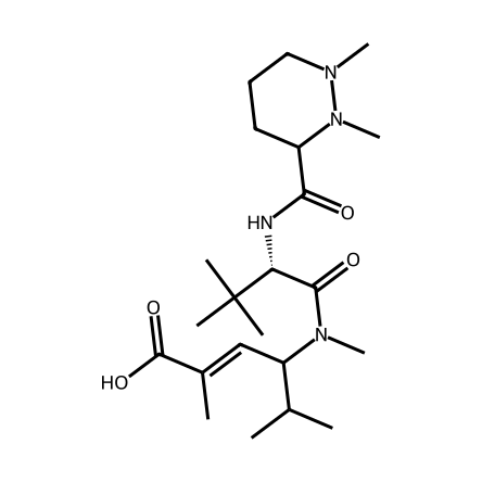 C/C(=C\C(C(C)C)N(C)C(=O)[C@@H](NC(=O)C1CCCN(C)N1C)C(C)(C)C)C(=O)O